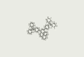 c1ccc(N(c2ccccc2)c2ccc(-c3cc(-c4ccc(N(c5ccccc5)c5ccccc5)cc4)c4ccc5cccc6ccc3c4c65)cc2)cc1